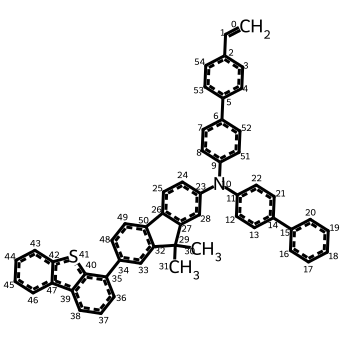 C=Cc1ccc(-c2ccc(N(c3ccc(-c4ccccc4)cc3)c3ccc4c(c3)C(C)(C)c3cc(-c5cccc6c5sc5ccccc56)ccc3-4)cc2)cc1